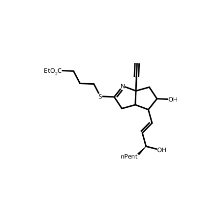 C#CC12CC(O)C(C=C[C@@H](O)CCCCC)C1CC(SCCCC(=O)OCC)=N2